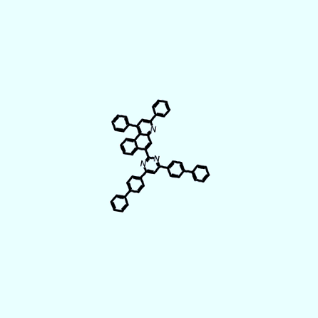 c1ccc(-c2ccc(-c3cc(-c4ccc(-c5ccccc5)cc4)nc(-c4cc5nc(-c6ccccc6)cc(-c6ccccc6)c5c5ccccc45)n3)cc2)cc1